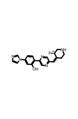 Oc1cc(-n2ccnc2)ccc1-c1cnc(/C=C2/CCNC[C@@H]2F)cn1